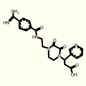 N=C(N)c1ccc(C(=O)NCCN2CCN(C(CC(=O)O)c3cccnc3)C(=O)C2=O)cc1